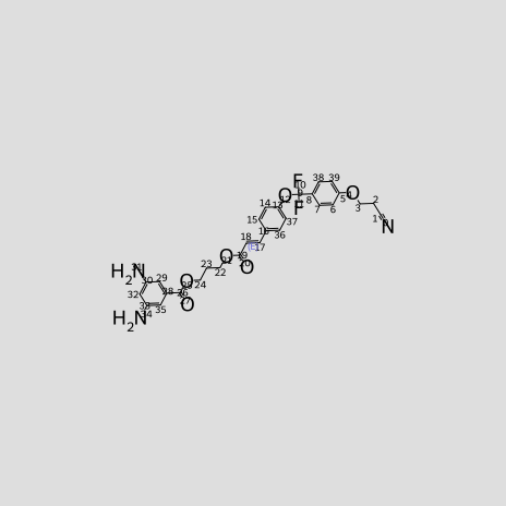 N#CCCOc1ccc(C(F)(F)Oc2ccc(/C=C/C(=O)OCCCOC(=O)c3cc(N)cc(N)c3)cc2)cc1